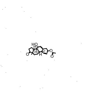 CC(=O)O[C@H]1C=C[C@@]2(C)C(=C[C@@H](O)[C@@H]3[C@@H]2CC[C@]2(C)C(=O)CC[C@@H]32)C1